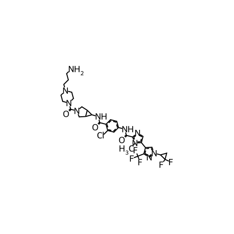 Cn1c(-c2cn(C3CC3(F)F)nc2C(F)(F)F)cnc1C(=O)Nc1ccc(C(=O)NC2C3CN(C(=O)N4CCN(CCCN)CC4)CC32)c(Cl)c1